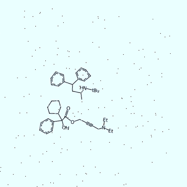 CC(CC(c1ccccc1)c1ccccc1)NC(C)(C)C.CCN(CC)CC#CCOC(=O)C(O)(c1ccccc1)C1CCCCC1